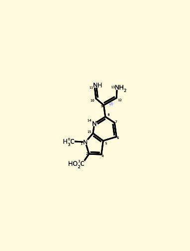 Cn1c(C(=O)O)cc2ccc(/C(C=N)=C/N)nc21